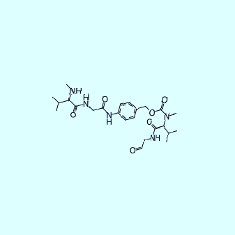 CNC(C(=O)NCC(=O)Nc1ccc(COC(=O)N(C)C(C(=O)NCC=O)C(C)C)cc1)C(C)C